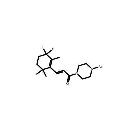 CC(=O)N1CCN(C(=O)/C=C/C2=C(C)C(F)(F)CCC2(C)C)CC1